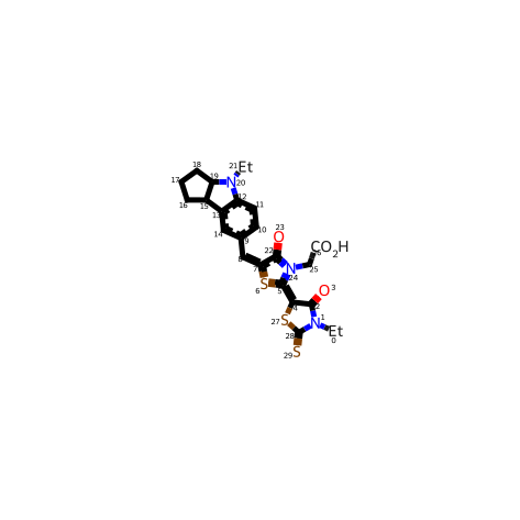 CCN1C(=O)/C(=c2/s/c(=C/c3ccc4c(c3)C3CCCC3N4CC)c(=O)n2CC(=O)O)SC1=S